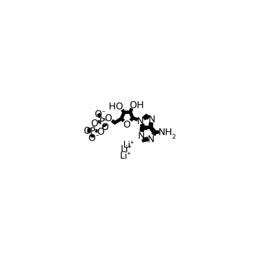 Nc1ncnc2c1ncn2C1OC(COP(=O)([O-])OP(=O)([O-])[O-])C(O)C1O.[Li+].[Li+].[Li+]